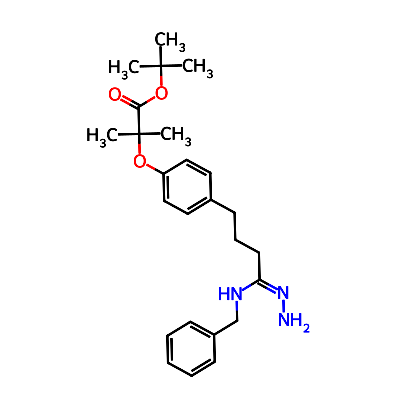 CC(C)(C)OC(=O)C(C)(C)Oc1ccc(CCC/C(=N/N)NCc2ccccc2)cc1